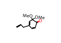 C=CCC1=CC(OC)(OC)C(=O)C=C1